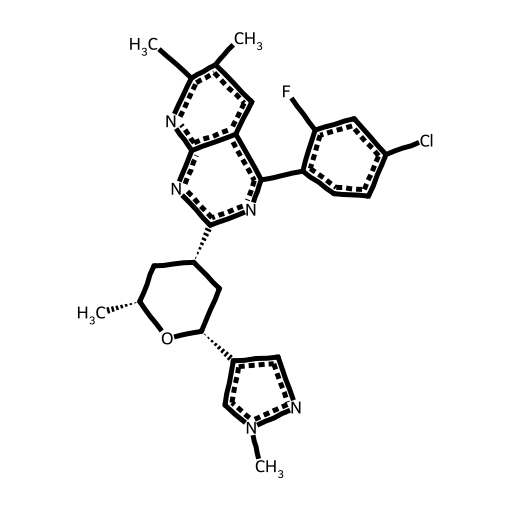 Cc1cc2c(-c3ccc(Cl)cc3F)nc([C@H]3C[C@@H](C)O[C@@H](c4cnn(C)c4)C3)nc2nc1C